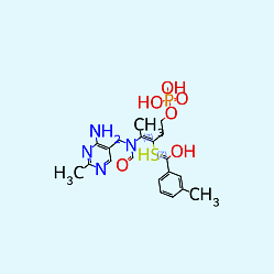 C/C(=C(CCOP(=O)(O)O)/[SH]=C(\O)c1cccc(C)c1)N(C=O)Cc1cnc(C)nc1N